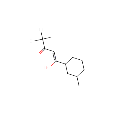 CCC(CC)(CC)C(=O)/C=C(\O)C1CCCC(C)C1